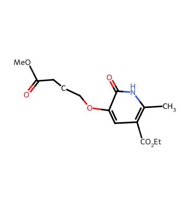 CCOC(=O)c1cc(OCCCC(=O)OC)c(=O)[nH]c1C